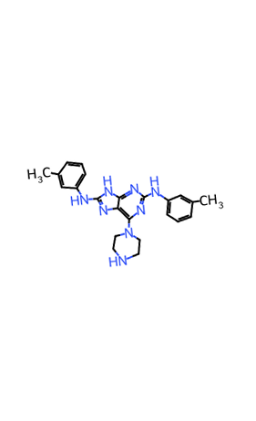 Cc1cccc(Nc2nc(N3CCNCC3)c3nc(Nc4cccc(C)c4)[nH]c3n2)c1